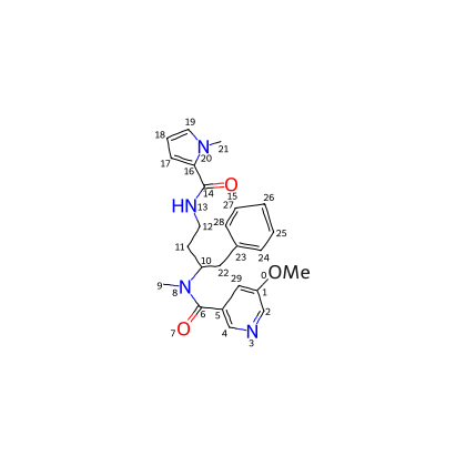 COc1cncc(C(=O)N(C)C(CCNC(=O)c2cccn2C)Cc2ccccc2)c1